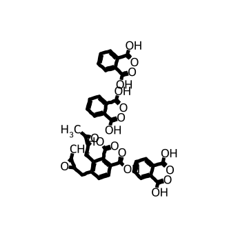 CC1OC1Cc1ccc(C(=O)O)c(C(=O)O)c1CC1OC1C.O=C(O)c1ccccc1C(=O)O.O=C(O)c1ccccc1C(=O)O.O=C(O)c1ccccc1C(=O)O